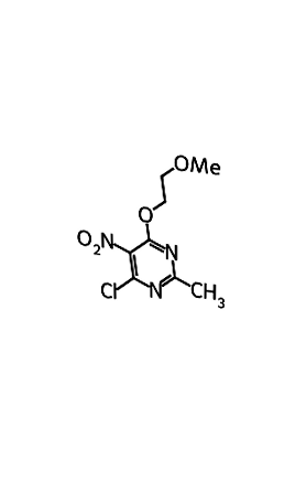 COCCOc1nc(C)nc(Cl)c1[N+](=O)[O-]